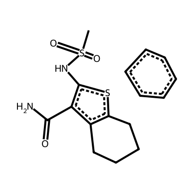 CS(=O)(=O)Nc1sc2c(c1C(N)=O)CCCC2.c1ccccc1